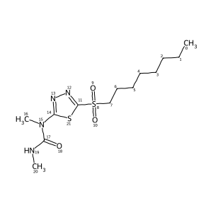 CCCCCCCCS(=O)(=O)c1nnc(N(C)C(=O)NC)s1